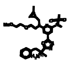 COCCOCCN(CC1CC1C)c1cc(-c2nnc([C@](C)(N)Cc3ccccc3)o2)cc(N(C)S(C)(=O)=O)n1